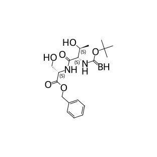 B=C(N[C@H](C(=O)N[C@@H](CO)C(=O)OCc1ccccc1)[C@H](C)O)OC(C)(C)C